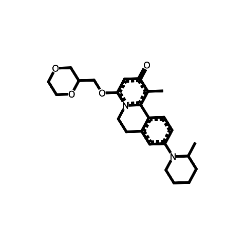 Cc1c2n(c(OCC3COCCO3)cc1=O)CCc1cc(N3CCCCC3C)ccc1-2